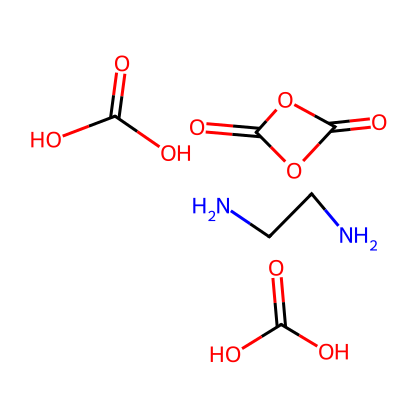 NCCN.O=C(O)O.O=C(O)O.O=C1OC(=O)O1